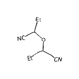 CCC(C#N)OC(C#N)CC